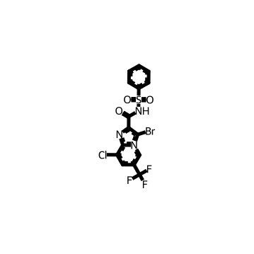 O=C(NS(=O)(=O)c1ccccc1)c1nc2c(Cl)cc(C(F)(F)F)cn2c1Br